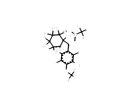 [2H]c1c([2H])c([C@@H](CN(C)C([2H])([2H])[2H])C2(O)C([2H])([2H])C([2H])([2H])C([2H])([2H])C([2H])([2H])C2([2H])[2H])c([2H])c([2H])c1OC([2H])([2H])[2H]